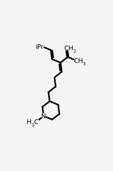 C=C(C)C(/C=C/C(C)C)=C/CCCC1CCCN(C)C1